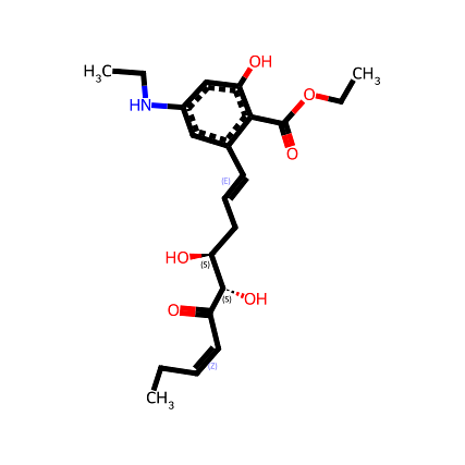 CC/C=C\C(=O)[C@@H](O)[C@@H](O)C/C=C/c1cc(NCC)cc(O)c1C(=O)OCC